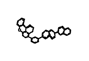 C1=C2c3ccccc3Oc3ccc(-c4cccc(-c5ccc6cc(-c7ccc8ccccc8c7)ccc6c5)c4)c(c32)CC1